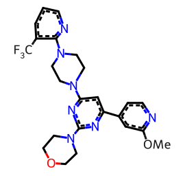 COc1cc(-c2cc(N3CCN(c4ncccc4C(F)(F)F)CC3)nc(N3CCOCC3)n2)ccn1